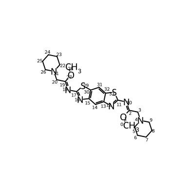 COC(CN1CCCCC1)=Nc1nc2cc3nc(N=C(CN4CCCCC4)OC)sc3cc2s1